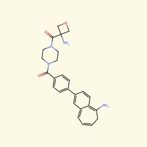 NC1=c2ccc(-c3ccc(C(=O)N4CCN(C(=O)C5(N)COC5)CC4)cc3)cc2=CC=CC1